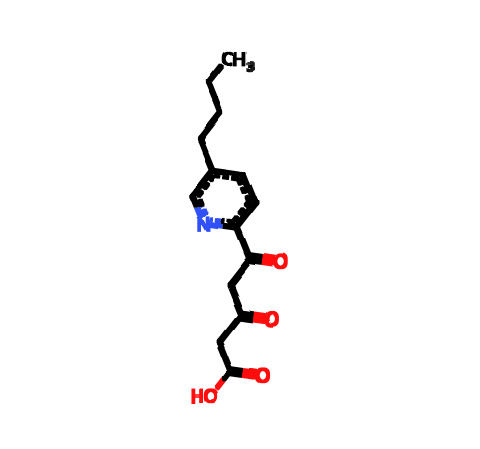 CCCCc1ccc(C(=O)CC(=O)CC(=O)O)nc1